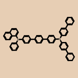 C1=CC(c2ccc(N(c3ccc(-c4ccccc4)cc3)c3ccc(-c4ccc(-c5ccc(N(c6ccccc6)c6cccc7ccccc67)cc5)cc4)cc3)cc2)=CCC1